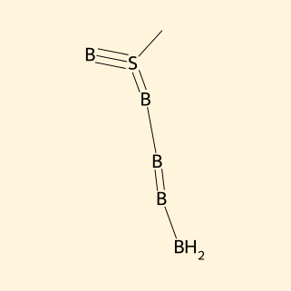 B#S(C)=BB=BB